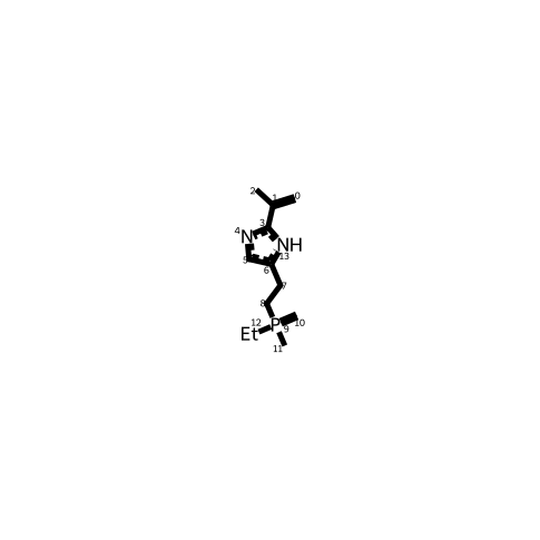 C=C(C)c1ncc(CCP(=C)(C)CC)[nH]1